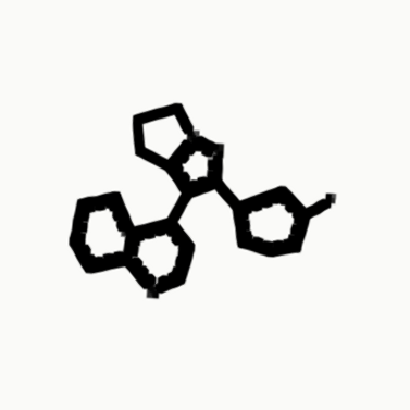 Fc1cccc(-c2nn3c(c2-c2ccnc4ccccc24)CCC3)c1